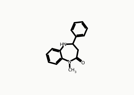 CN1C(=O)CC(c2ccccc2)Nc2ccccc21